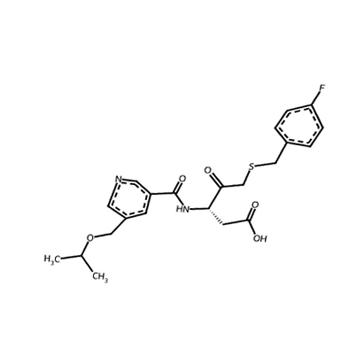 CC(C)OCc1cncc(C(=O)N[C@@H](CC(=O)O)C(=O)CSCc2ccc(F)cc2)c1